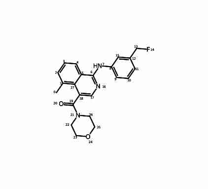 Cc1cccc2c(Nc3cccc(CF)c3)ncc(C(=O)N3CCOCC3)c12